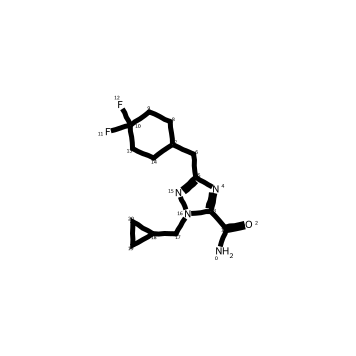 NC(=O)c1nc(CC2CCC(F)(F)CC2)nn1CC1CC1